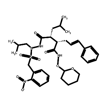 CC(C)C[C@@H](C(=O)NN(CC(C)C)S(=O)(=O)Cc1ccccc1[N+](=O)[O-])[C@H](CC=Cc1ccccc1)C(=O)NOC1CCCCO1